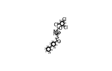 O=C(CSc1nnc(COc2c(Cl)cc(Cl)cc2Cl)o1)c1ccc(-c2ccccc2)cc1